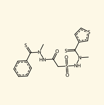 CN(NC(=O)CS(=O)(=O)NN(C)C(=S)c1ccsc1)C(=S)c1ccccc1